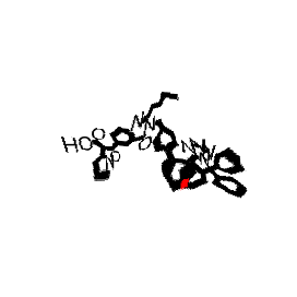 CCCCc1nc2ccc(C3ON4CCCC4C3C(=O)O)cc2c(=O)n1Cc1ccc(-c2ccccc2-c2nnnn2C(c2ccccc2)(c2ccccc2)c2ccccc2)cc1